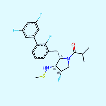 CSN[C@H]1[C@@H](F)CN(C(=O)C(C)C)[C@H]1Cc1cccc(-c2cc(F)cc(F)c2)c1F